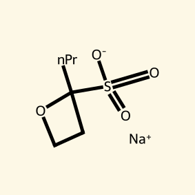 CCCC1(S(=O)(=O)[O-])CCO1.[Na+]